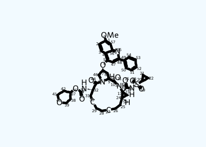 COc1ccc2c(O[C@@H]3C[C@H]4C(=O)N[C@]5(C(=O)NS(=O)(=O)C6CC6)C[C@H]5CCCCCCC[C@H](NC(=O)OC5CCOCC5)C(=O)N4C3)cc(-c3ccccc3)nc2c1